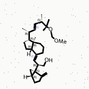 C=C1CC[C@@H]2C[C@]12[C@@H](/C=C1\CCC[C@]2(C)[C@@H]([C@H](C)/C=C/[C@H](C)C(C)(C)OCOC)CC[C@@H]12)CO